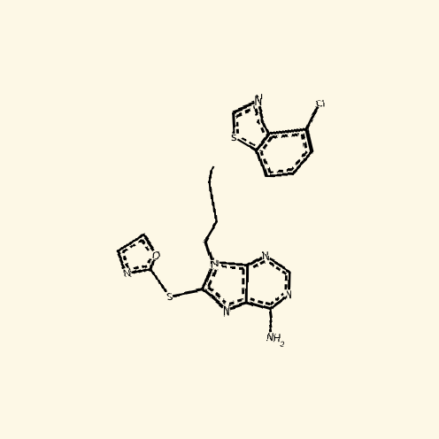 CCCCn1c(Sc2ncco2)nc2c(N)ncnc21.Clc1cccc2scnc12